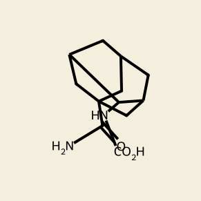 NC(=O)C12CC3CC(C1)C(NC(=O)O)C(C3)C2